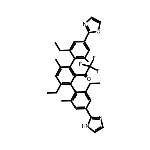 CCc1[c]c(C)c(-c2c(C)cc(-c3ncco3)cc2CC)c(C(=O)C(F)(F)F)c1-c1c(C)cc(-c2ncc[nH]2)cc1CC